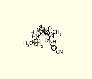 CN(C)CC(=O)NCC(C)(C)S(=O)(=O)C1(CN2CCc3c(C(=O)NCc4ccc(C#N)cc4)nn(C)c3C2=O)CC1